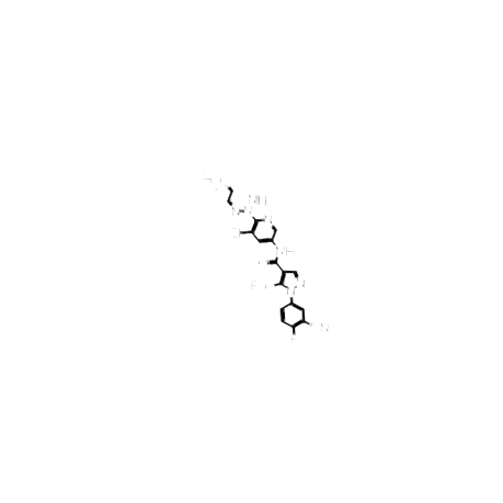 C=C/C=N\N(N)c1ncc(NC(=O)c2cnn(-c3ccc(F)c(C#N)c3)c2C(F)(F)F)cc1Cl